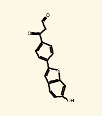 O=CCC(=O)c1ccc(-c2cc3ccc(O)cc3s2)cc1